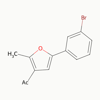 CC(=O)c1cc(-c2cccc(Br)c2)oc1C